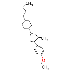 CCCCC1CCC(C2CC[C@@H](c3ccc(OCC)cc3)[C@H](C)C2)CC1